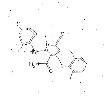 Cc1cccc(C)c1Oc1cc(=O)n(C)c(Nc2ccc(I)cc2F)c1C(N)=O